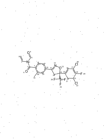 C=CN(C=O)C(=O)c1ccc(C2=NO[C@@](C3=CC(Cl)=C(F)C(Cl)C3)(C(F)(F)F)C2)cc1C